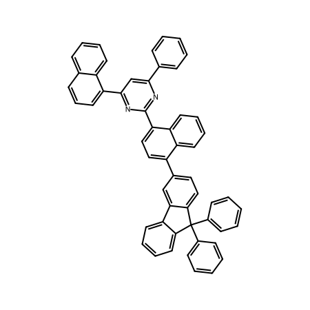 c1ccc(-c2cc(-c3cccc4ccccc34)nc(-c3ccc(-c4ccc5c(c4)-c4ccccc4C5(c4ccccc4)c4ccccc4)c4ccccc34)n2)cc1